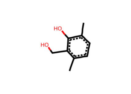 Cc1ccc(C)c(CO)c1O